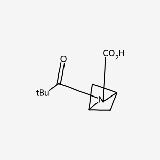 CC(C)(C)C(=O)N1C2CC(C2)C1C(=O)O